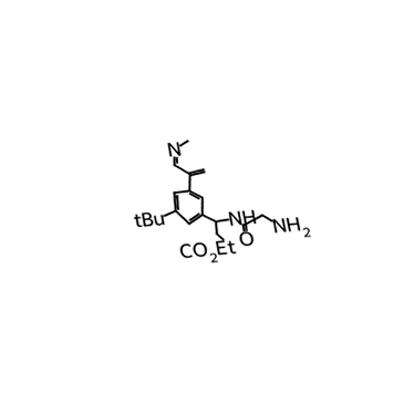 C=C(/C=N\C)c1cc(C(CC(=O)OCC)NC(=O)CN)cc(C(C)(C)C)c1